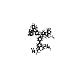 CC1(C)CCC(C)(C)c2cc(-c3ccc(N(c4ccc5c(c4)Oc4ccccc4C54C5CC6CC7CC4C75C6)c4ccc5c(c4)C(C)(C)c4ccccc4-5)cc3)ccc21